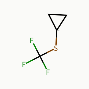 FC(F)(F)S[C]1CC1